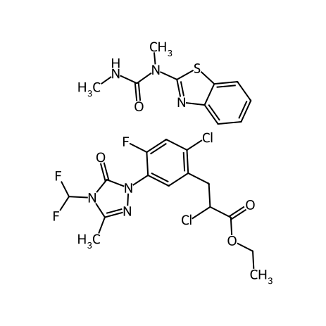 CCOC(=O)C(Cl)Cc1cc(-n2nc(C)n(C(F)F)c2=O)c(F)cc1Cl.CNC(=O)N(C)c1nc2ccccc2s1